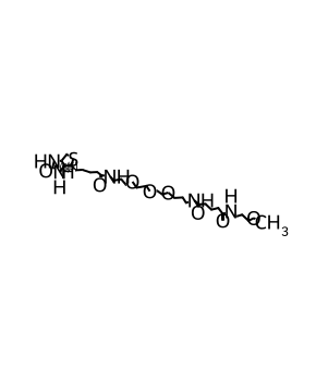 COCCCNC(=O)CCCC(=O)NCCCOCCOCCOCCCNC(=O)CCCC[C@@H]1SCC2NC(=O)N[C@@H]21